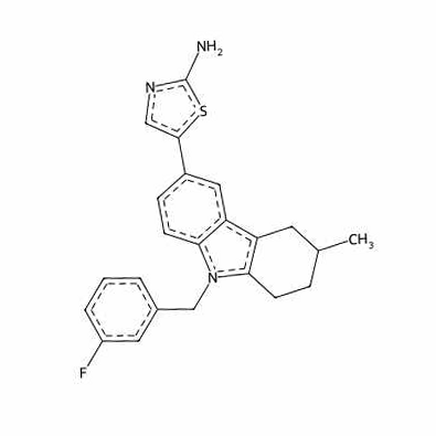 CC1CCc2c(c3cc(-c4cnc(N)s4)ccc3n2Cc2cccc(F)c2)C1